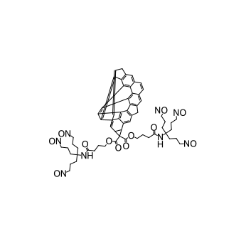 O=NCCCC(CCCN=O)(CCCN=O)NC(=O)CCCOC(=O)C1(C(=O)OCCCC(=O)NC(CCCN=O)(CCCN=O)CCCN=O)C2c3cc4c5c6c(cc7ccc8cc9c%10c%11c(cc(c%12c3c5c(c%12%11)c3c6c7c8c%103)C21)C9)C4